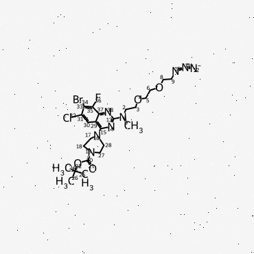 CN(CCOCCOCCN=[N+]=[N-])c1nc(N2CCN(C(=O)OC(C)(C)C)CC2)c2cc(Cl)c(Br)c(F)c2n1